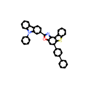 c1ccc(-c2ccc(-c3cc4oc(-c5ccc6c7ccccc7n(-c7ccccc7)c6c5)nc4c4c3sc3ccccc34)cc2)cc1